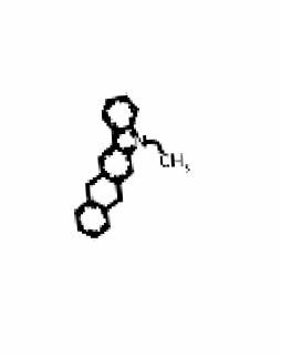 CCn1c2ccccc2c2cc3c(cc21)Cc1ccccc1C3